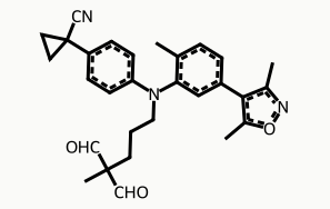 Cc1ccc(-c2c(C)noc2C)cc1N(CCCC(C)(C=O)C=O)c1ccc(C2(C#N)CC2)cc1